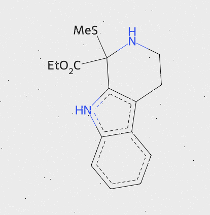 CCOC(=O)C1(SC)NCCc2c1[nH]c1ccccc21